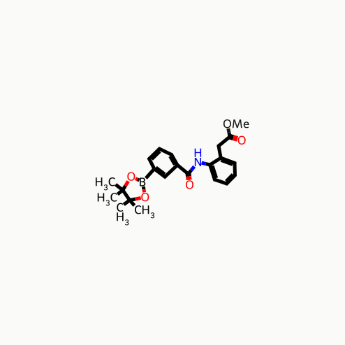 COC(=O)Cc1ccccc1NC(=O)c1cccc(B2OC(C)(C)C(C)(C)O2)c1